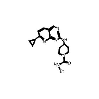 CCNC(=O)N1CCC(Nc2ncc3ccc(C4CC4)nc3n2)CC1